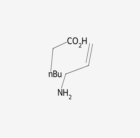 C=CCN.CCCCCC(=O)O